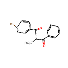 CCOC(=O)C(C(=O)c1ccccc1)C(=O)c1ccc(Br)cc1